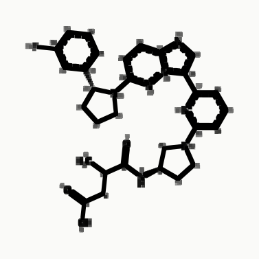 CC(CC(=O)O)C(=O)N[C@@H]1CCN(c2cccc(-c3cnc4ccc(N5CCC[C@@H]5c5cccc(F)c5)nn34)n2)C1